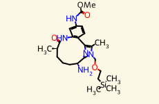 COC(=O)Nc1ccc2c(c1)NC(=O)[C@H](C)CCC[C@H](N)c1nc-2c(C)n1COCC[Si](C)(C)C